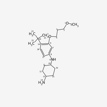 COCCCOc1cc(NC2CCC(N)CC2)ccc1C(C)(C)C